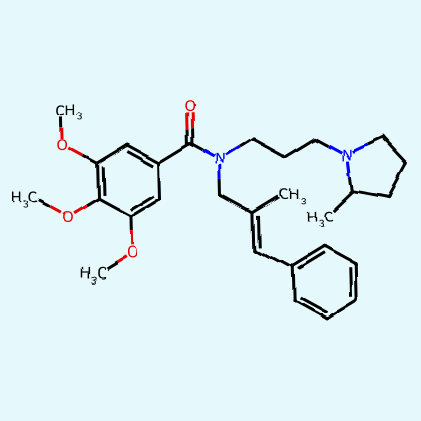 COc1cc(C(=O)N(CCCN2CCCC2C)CC(C)=Cc2ccccc2)cc(OC)c1OC